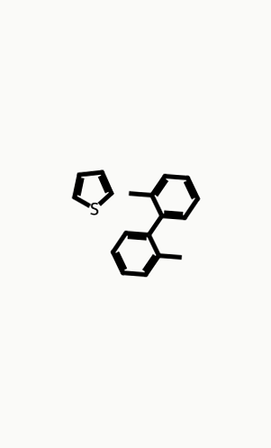 Cc1ccccc1-c1ccccc1C.c1ccsc1